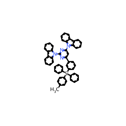 Cc1ccc([Si](c2ccccc2)(c2ccccc2)c2cccc(-c3cc(-n4c5ccccc5c5ccccc54)nc(-n4c5ccccc5c5ccccc54)n3)c2)cc1